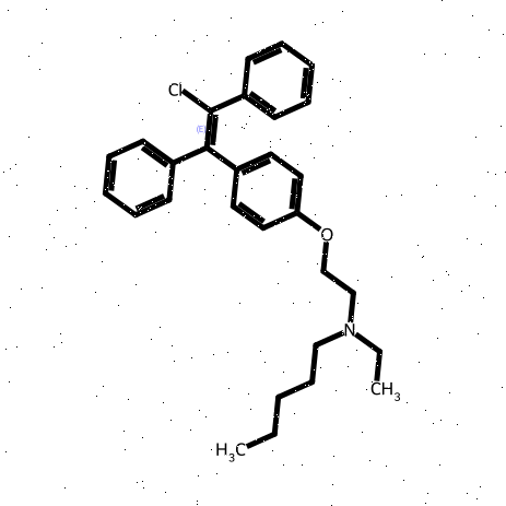 CCCCCN(CC)CCOc1ccc(/C(=C(/Cl)c2ccccc2)c2ccccc2)cc1